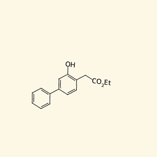 CCOC(=O)Cc1ccc(-c2ccccc2)cc1O